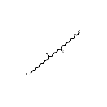 CCCCCCCCCC(=O)CCCCC(=O)CCCCCCOC=O